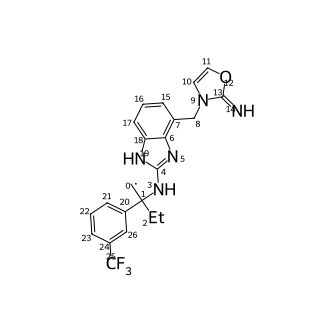 [CH2]C(CC)(Nc1nc2c(Cn3ccoc3=N)cccc2[nH]1)c1cccc(C(F)(F)F)c1